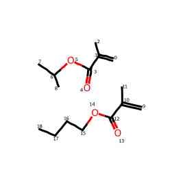 C=C(C)C(=O)OC(C)C.C=C(C)C(=O)OCCCC